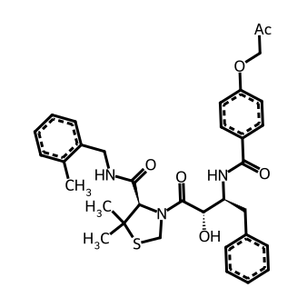 CC(=O)COc1ccc(C(=O)N[C@@H](Cc2ccccc2)[C@H](O)C(=O)N2CSC(C)(C)[C@H]2C(=O)NCc2ccccc2C)cc1